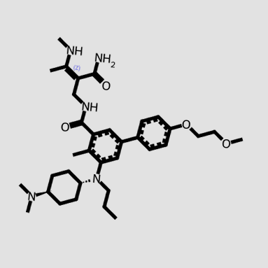 CCCN(c1cc(-c2ccc(OCCOC)cc2)cc(C(=O)NC/C(C(N)=O)=C(\C)NC)c1C)[C@H]1CC[C@H](N(C)C)CC1